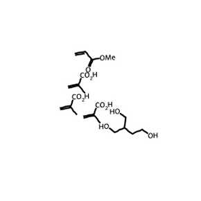 C=C(C)C(=O)O.C=C(C)C(=O)O.C=C(C)C(=O)O.C=CC(=O)OC.OCCC(CO)CO